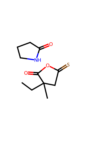 CCC1(C)CC(=S)OC1=O.O=C1CCCN1